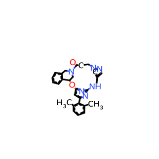 Cc1cccc(C)c1-c1cc2nc(n1)NCc1cnn(c1)CCC(=O)N1Cc3ccccc3C(C1)O2